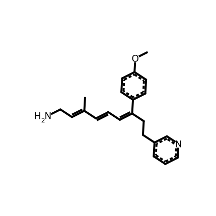 COc1ccc(\C(=C/C=C/C(C)=C/CN)CCc2cccnc2)cc1